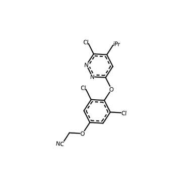 CC(C)c1cc(Oc2c(Cl)cc(OCC#N)cc2Cl)nnc1Cl